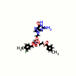 Cc1ccc(C(=O)SCCOP(=O)(COCCn2cnc3c(=O)[nH]c(N)nc32)OCc2ccc(C)c(F)c2)cc1